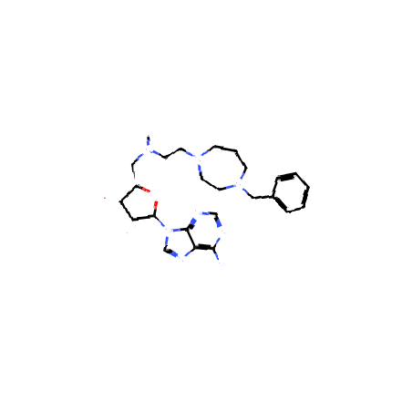 CN(CCN1CCCN(Cc2ccccc2)CC1)C[C@H]1OC(n2cnc3c(N)ncnc32)[C@H](O)[C@@H]1O